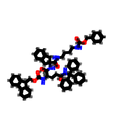 O=C(CC[C@@H](NC(=O)OCC1c2ccccc2-c2ccccc21)C(=O)NC1(C(=O)NCCCCNC(=O)OCc2ccccc2)Cc2ccccc2C1)NC(c1ccccc1)(c1ccccc1)c1ccccc1